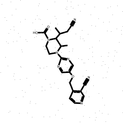 CC(CC#N)C1C(C)N(c2ncc(OCc3ccncc3C#N)cn2)CCN1C(=O)O